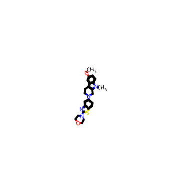 COc1ccc2c(c1)c1c(n2C)CN(c2ccc3sc(N4CCOCC4)nc3c2)CC1